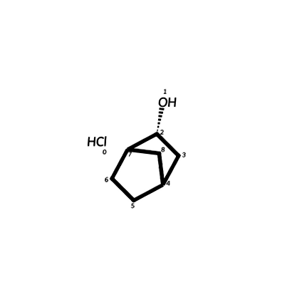 Cl.O[C@@H]1CC2CCC1C2